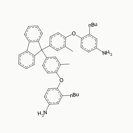 CCCCc1cc(N)ccc1Oc1ccc(C2(c3ccc(Oc4ccc(N)cc4CCCC)c(C)c3)c3ccccc3-c3ccccc32)cc1C